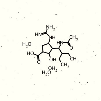 CCC(CC)C(NC(C)=O)C1C(NC(=N)N)CC(C(=O)O)C1O.O.O.O